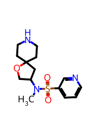 CN(C1COC2(CCNCC2)C1)S(=O)(=O)c1cccnc1